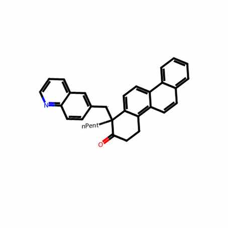 CCCCCC1([CH]c2ccc3ncccc3c2)C(=O)CCc2c1ccc1c2ccc2ccccc21